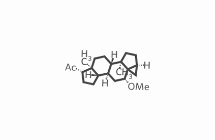 CO[C@@H]1C[C@H]2[C@@H]3CC[C@H](C(C)=O)[C@@]3(C)CC[C@@H]2[C@@]2(C)CC[C@H]3CC312